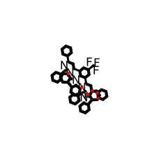 FC(F)(F)c1cc(-c2cc(-c3ccccc3)nc(-c3ccccc3)n2)c(-n2c3ccccc3c3ccc(-n4c5ccccc5c5ccccc54)cc32)c(-c2cc(-c3ccccc3)nc(-c3ccccc3)n2)c1